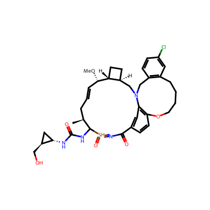 CO[C@H]1/C=C/C[C@H](C)C(NC(=O)N[C@H]2C[C@@H]2CO)/[SH](=O)=N\C(=O)c2ccc3c(c2)N(Cc2ccc(Cl)cc2CCCCO3)C[C@@H]2CC[C@H]21